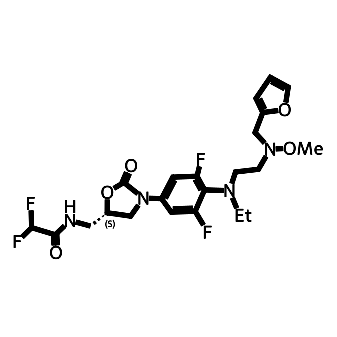 CCN(CCN(Cc1ccco1)OC)c1c(F)cc(N2C[C@H](CNC(=O)C(F)F)OC2=O)cc1F